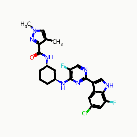 Cc1cn(C)nc1C(=O)N[C@@H]1CCC[C@H](Nc2nc(-c3c[nH]c4c(F)cc(Cl)cc34)ncc2F)C1